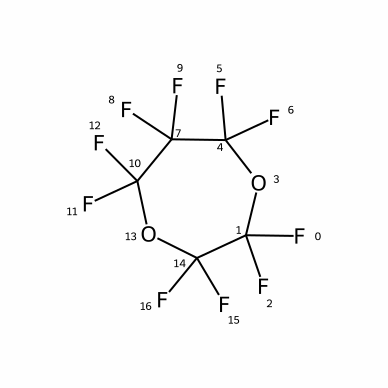 FC1(F)OC(F)(F)C(F)(F)C(F)(F)OC1(F)F